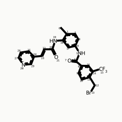 Cc1ccc(NC(=O)c2ccc(CBr)c(C(F)(F)F)c2)cc1NC(=O)/C=C/c1cccnc1